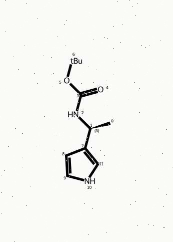 C[C@H](NC(=O)OC(C)(C)C)c1cc[nH]c1